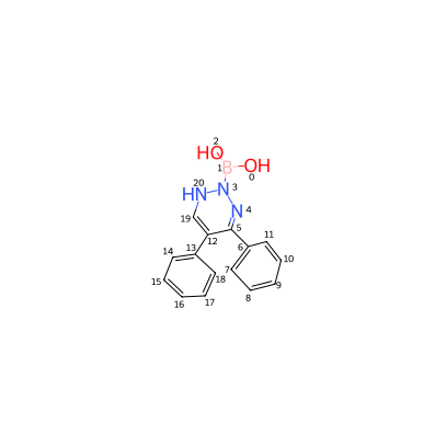 OB(O)N1N=C(c2ccccc2)C(c2ccccc2)=CN1